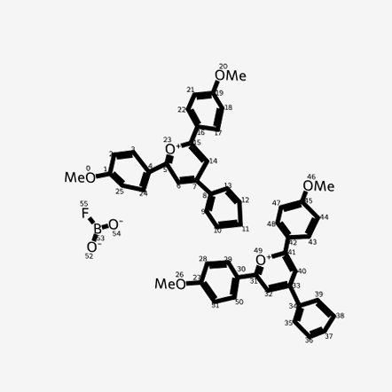 COc1ccc(-c2cc(-c3ccccc3)cc(-c3ccc(OC)cc3)[o+]2)cc1.COc1ccc(-c2cc(-c3ccccc3)cc(-c3ccc(OC)cc3)[o+]2)cc1.[O-]B([O-])F